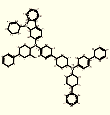 CC1CC(C2=CC=CCC2)CCC1N(C1=CC=C(C2CCC(N(C3=CC=C(C4C=CC=CC4)CC3)C3CCC(c4ccccc4)CC3)CC2)CC1)C1=CC=C2c3ccccc3N(C3C=CCCC3)C2C1